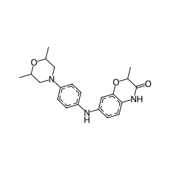 CC1CN(c2ccc(Nc3ccc4c(c3)OC(C)C(=O)N4)cc2)CC(C)O1